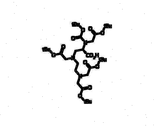 CC(C)(C)OC(=O)CN(CCN(CC(=O)OC(C)(C)C)C[C@H](C(=O)O)N(CC(=O)OC(C)(C)C)C(=O)OC(C)(C)C)CC(=O)OC(C)(C)C